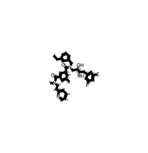 CCc1cccc(CN(C[C@@H](O)[C@@H](N)Cc2cc(F)cc(F)c2)C(=O)c2cc(C)cc(C(=O)N(C)CCc3ccccn3)c2)c1